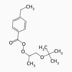 CCc1ccc(C(=O)OO[C](C)COC(C)(C)C)cc1